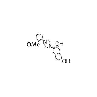 COc1ccccc1N1CCN([C@H]2Cc3ccc(O)cc3C[C@@H]2O)CC1